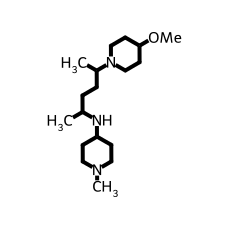 COC1CCN(C(C)CCC(C)NC2CCN(C)CC2)CC1